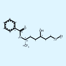 CCOCCC(O)CC[C@@H](OC(=O)c1[c]cccc1)C(F)(F)F